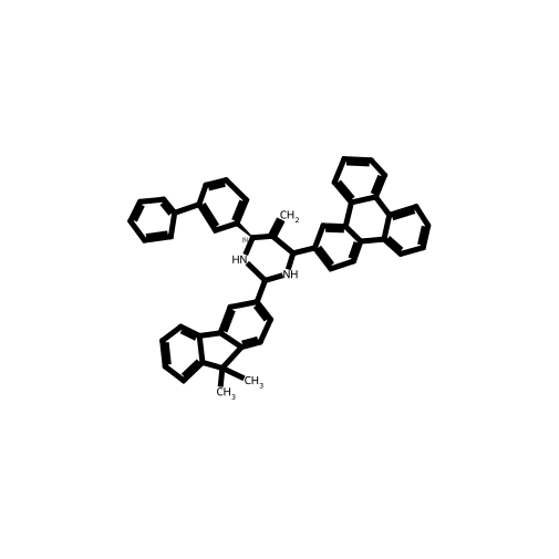 C=C1C(c2ccc3c4ccccc4c4ccccc4c3c2)NC(c2ccc3c(c2)-c2ccccc2C3(C)C)N[C@H]1c1cccc(-c2ccccc2)c1